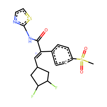 CS(=O)(=O)c1ccc(/C(=C\C2CC(F)C(F)C2)C(=O)Nc2nccs2)cc1